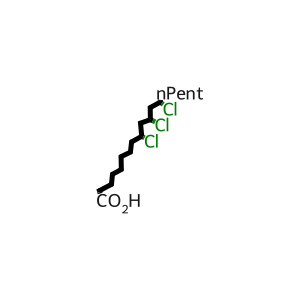 CCCCCC(Cl)CC(Cl)CC(Cl)CCCCCCCC(=O)O